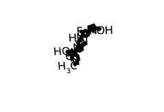 CCN1CCC(N(CC(=O)O)c2ccc3cnc(Nc4ccc(-n5ccc(CO)n5)cc4F)cc3n2)CC1